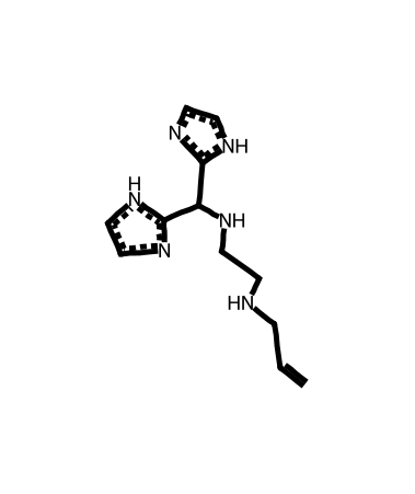 C=CCNCCNC(c1ncc[nH]1)c1ncc[nH]1